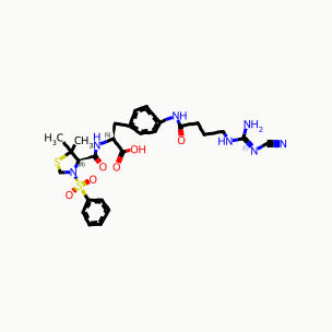 CC1(C)SCN(S(=O)(=O)c2ccccc2)[C@@H]1C(=O)N[C@@H](Cc1ccc(NC(=O)CCCN/C(N)=N/C#N)cc1)C(=O)O